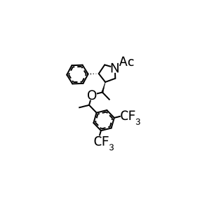 CC(=O)N1C[C@@H](c2ccccc2)[C@H](C(C)OC(C)c2cc(C(F)(F)F)cc(C(F)(F)F)c2)C1